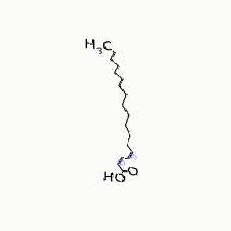 CCCCCCCCCCCCC/C=C\C=C/C(=O)O